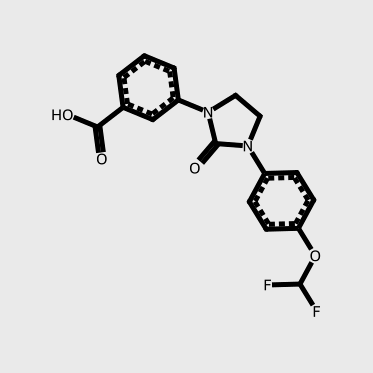 O=C(O)c1cccc(N2CCN(c3ccc(OC(F)F)cc3)C2=O)c1